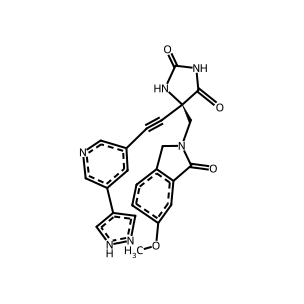 COc1ccc2c(c1)C(=O)N(C[C@@]1(C#Cc3cncc(-c4cn[nH]c4)c3)NC(=O)NC1=O)C2